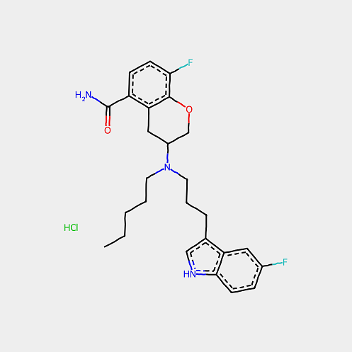 CCCCCN(CCCc1c[nH]c2ccc(F)cc12)C1COc2c(F)ccc(C(N)=O)c2C1.Cl